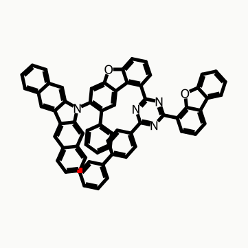 c1ccc(-c2ccc(-c3nc(-c4cccc5c4oc4ccccc45)nc(-c4cccc5oc6cc(-n7c8cc9ccccc9cc8c8cc9ccccc9cc87)c(-c7ccccc7)cc6c45)n3)cc2)cc1